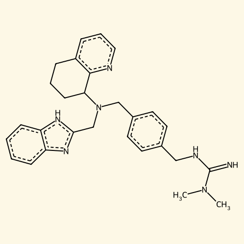 CN(C)C(=N)NCc1ccc(CN(Cc2nc3ccccc3[nH]2)C2CCCc3cccnc32)cc1